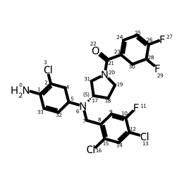 NC1=C(Cl)CC(N(Cc2cc(F)c(Cl)cc2Cl)[C@H]2CCN(C(=O)C3=CC=C(F)C(F)C3)C2)C=C1